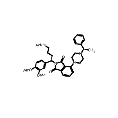 COc1ccc([C@@H](CCCNC(C)=O)N2C(=O)c3cccc(N4CCN([C@H](C)c5ccccc5)CC4)c3C2=O)cc1OC